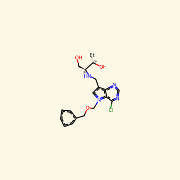 CC[C@H](O)[C@H](CO)NCc1cn(COCc2ccccc2)c2c(Cl)ncnc12